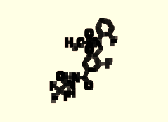 CS(=O)(=O)N(Cc1ccc(C(=O)NNC(=O)C(F)(F)F)cc1F)c1ccccc1F